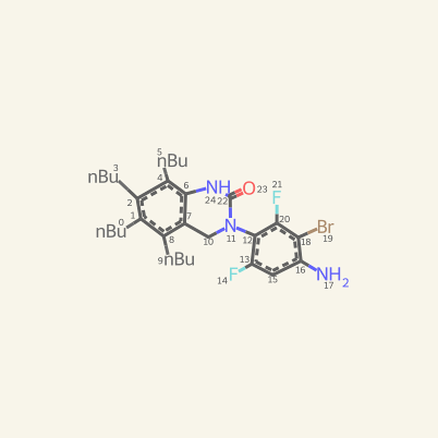 CCCCc1c(CCCC)c(CCCC)c2c(c1CCCC)CN(c1c(F)cc(N)c(Br)c1F)C(=O)N2